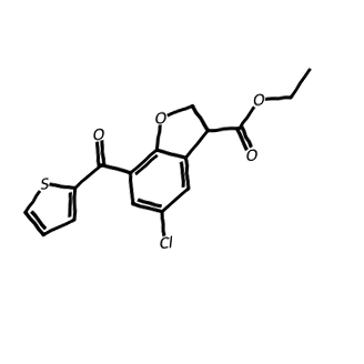 CCOC(=O)C1COc2c(C(=O)c3cccs3)cc(Cl)cc21